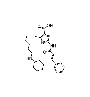 CCCCCNC1CCCCC1.Cc1nc(NC(=O)C=Cc2ccccc2)sc1C(=O)O